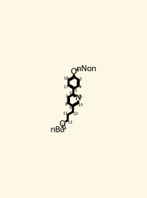 CCCCCCCCCOc1ccc(-c2ccc(CCCOCCCC)cn2)cc1